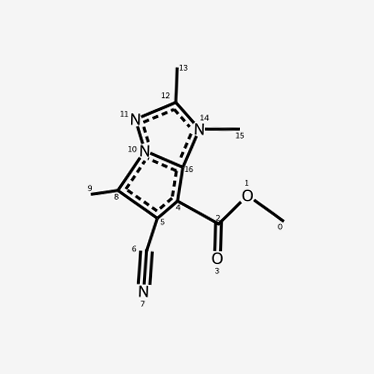 COC(=O)c1c(C#N)c(C)n2nc(C)n(C)c12